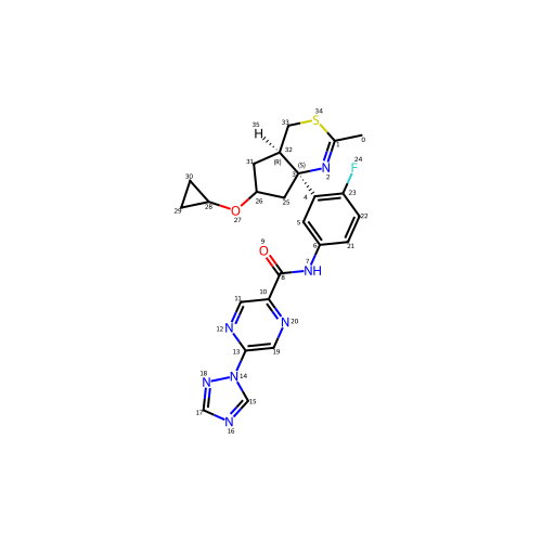 CC1=N[C@@]2(c3cc(NC(=O)c4cnc(-n5cncn5)cn4)ccc3F)CC(OC3CC3)C[C@H]2CS1